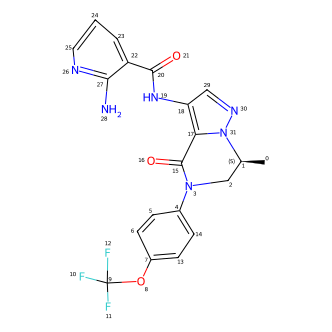 C[C@H]1CN(c2ccc(OC(F)(F)F)cc2)C(=O)c2c(NC(=O)c3cccnc3N)cnn21